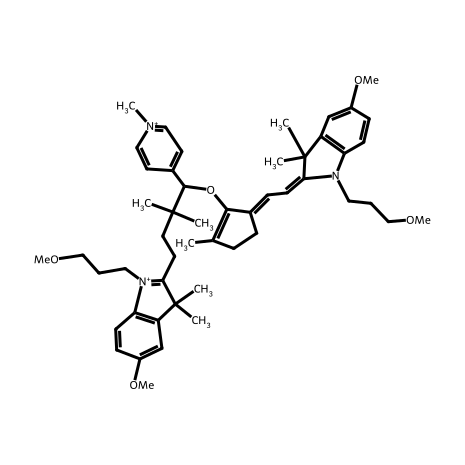 COCCCN1/C(=C/C=C2\CCC(C)=C2OC(c2cc[n+](C)cc2)C(C)(C)CCC2=[N+](CCCOC)c3ccc(OC)cc3C2(C)C)C(C)(C)c2cc(OC)ccc21